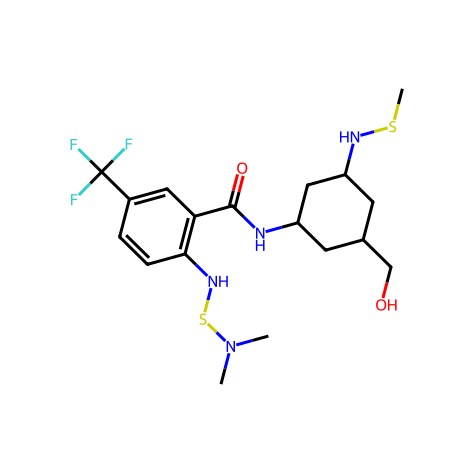 CSNC1CC(CO)CC(NC(=O)c2cc(C(F)(F)F)ccc2NSN(C)C)C1